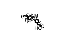 COCCOC(=O)[C@H](C)NP(=O)(OCC(F)(F)F)[C@@H](F)c1ccc2sc(C(=O)O)cc2c1